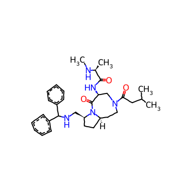 CN[C@@H](C)C(=O)N[C@H]1CN(C(=O)CC(C)C)CC[C@H]2CC[C@@H](CNC(c3ccccc3)c3ccccc3)N2C1=O